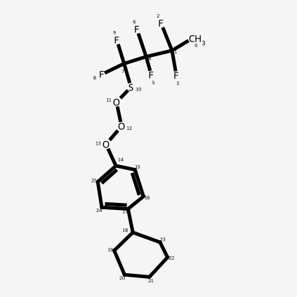 CC(F)(F)C(F)(F)C(F)(F)SOOOc1ccc(C2CCCCC2)cc1